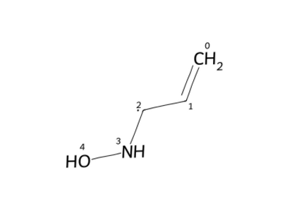 C=C[CH]NO